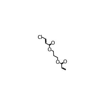 C=CC(=O)OCCCOC(=O)C=CCl